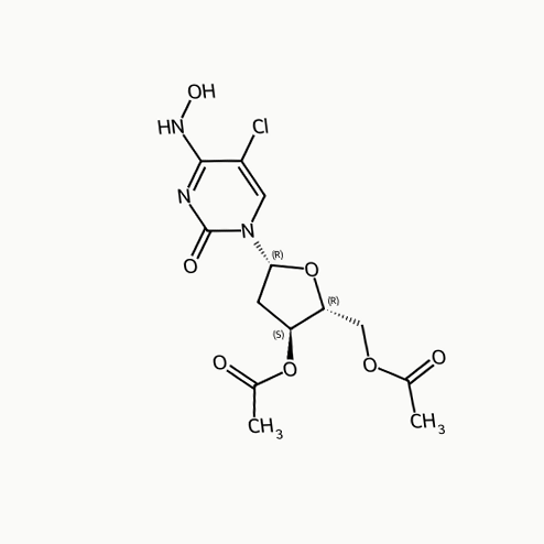 CC(=O)OC[C@H]1O[C@@H](n2cc(Cl)c(NO)nc2=O)C[C@@H]1OC(C)=O